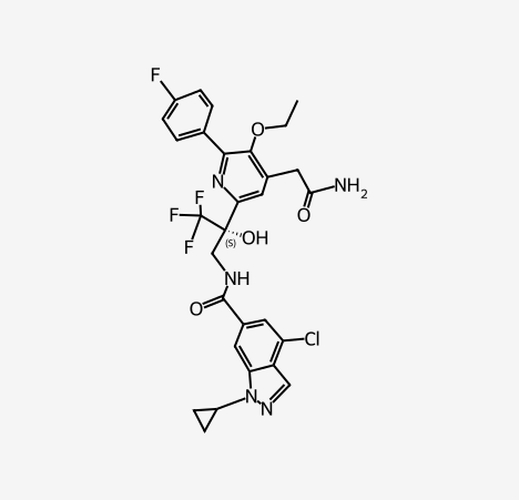 CCOc1c(CC(N)=O)cc([C@@](O)(CNC(=O)c2cc(Cl)c3cnn(C4CC4)c3c2)C(F)(F)F)nc1-c1ccc(F)cc1